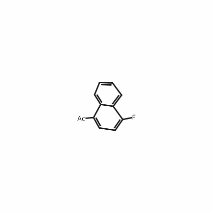 CC(=O)c1ccc(F)c2ccccc12